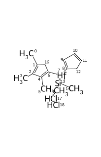 CC1=C(C)C(C)=[C]([Hf]([C]2=CC=CC2)=[Si](C)C)C1.Cl.Cl